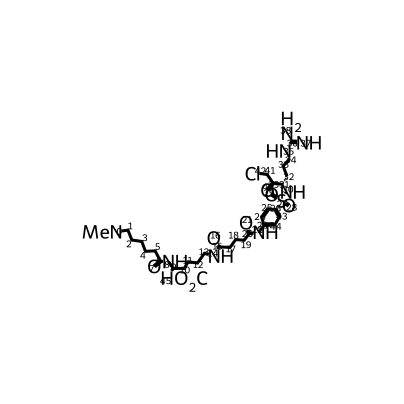 CNCCCCCC(=O)NC(CCCCNC(=O)CCCC(=O)Nc1ccc(S(=O)(=O)N[C@@H](CCCNC(=N)N)C(=O)CCl)cc1)C(=O)O